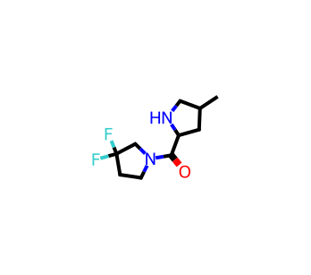 CC1CNC(C(=O)N2CCC(F)(F)C2)C1